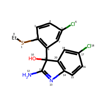 CCSc1ccc(Cl)cc1C1(O)C(N)=Nc2ccc(Cl)cc21